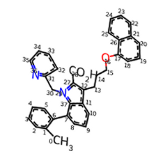 Cc1ccccc1-c1cccc2c(CCCOc3cccc4ccccc34)c(C(=O)O)n(Cc3ccccn3)c12